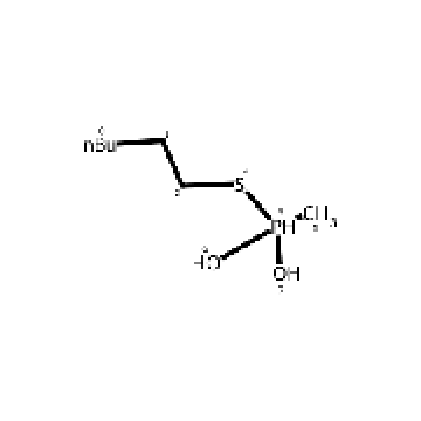 CCCCCCS[PH](C)(O)O